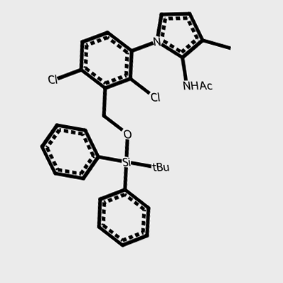 CC(=O)Nc1c(C)ccn1-c1ccc(Cl)c(CO[Si](c2ccccc2)(c2ccccc2)C(C)(C)C)c1Cl